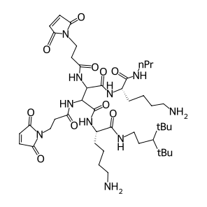 CCCNC(=O)[C@H](CCCCN)NC(=O)C(NC(=O)CCN1C(=O)C=CC1=O)C(NC(=O)CCN1C(=O)C=CC1=O)C(=O)N[C@@H](CCCCN)C(=O)NCCC(C(C)(C)C)C(C)(C)C